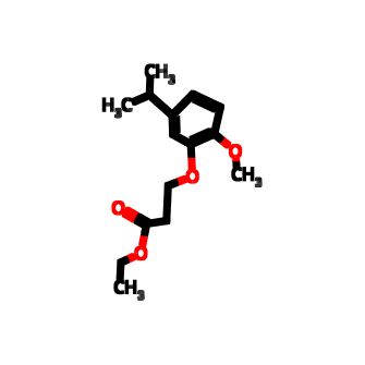 CCOC(=O)CCOc1cc(C(C)C)ccc1OC